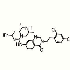 CC(C)C(C)/N=C(/Nc1ccc2c(=O)n(CCc3ccc(Cl)cc3Cl)cnc2c1)N1C[C@@H](C)N[C@@H](C)C1